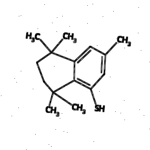 Cc1cc(S)c2c(c1)C(C)(C)CCC2(C)C